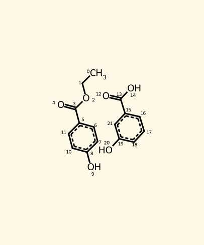 CCOC(=O)c1ccc(O)cc1.O=C(O)c1cccc(O)c1